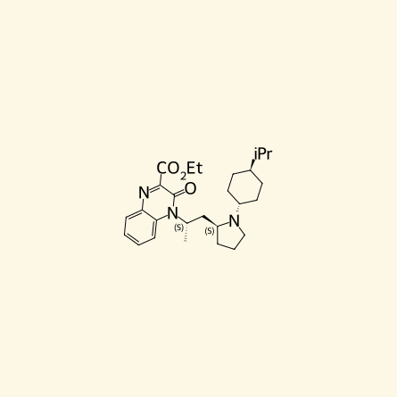 CCOC(=O)c1nc2ccccc2n([C@@H](C)C[C@@H]2CCCN2[C@H]2CC[C@H](C(C)C)CC2)c1=O